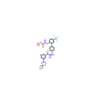 C[C@@H](NC(=O)c1cncc(N2CCC3(COC3)C2)c1)c1ccc(-c2cc(C(F)(F)F)ccc2CNC(=O)OC(C)(C)C)cc1